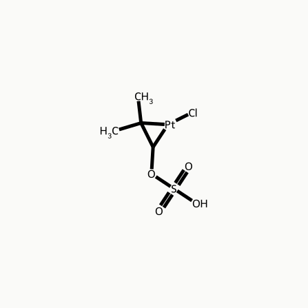 C[C]1(C)[CH](OS(=O)(=O)O)[Pt]1[Cl]